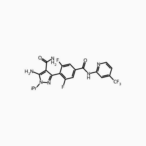 CC(C)n1nc(-c2c(F)cc(C(=O)Nc3cc(C(F)(F)F)ccn3)cc2F)c(C(N)=O)c1N